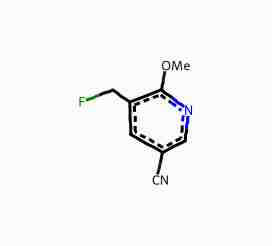 COc1ncc(C#N)cc1CF